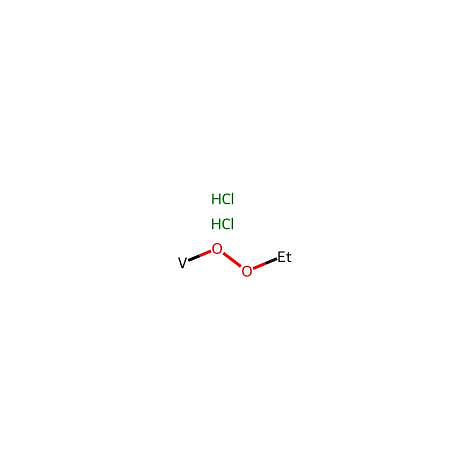 CCO[O][V].Cl.Cl